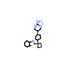 Nc1ncc(-c2ccc(C3(c4nc5ccccc5s4)CCC3)cc2)cn1